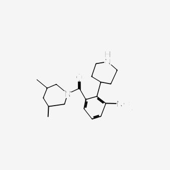 CC1CC(C)CN(C(=O)c2cccc([N+](=O)[O-])c2C2CCNCC2)C1